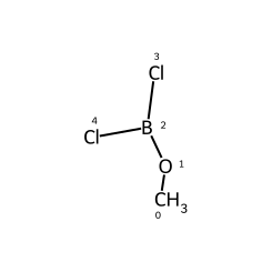 COB(Cl)Cl